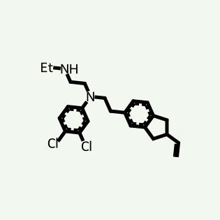 C=CC1Cc2ccc(CCN(CCNCC)c3ccc(Cl)c(Cl)c3)cc2C1